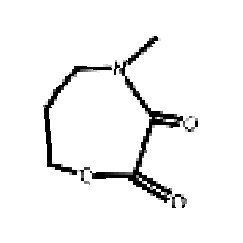 CN1CCCCC(=O)C1=O